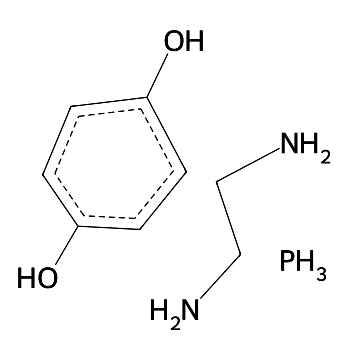 NCCN.Oc1ccc(O)cc1.P